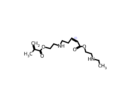 C=C(C)C(=O)OCCNCC/C=C\C(=O)OCCNCC